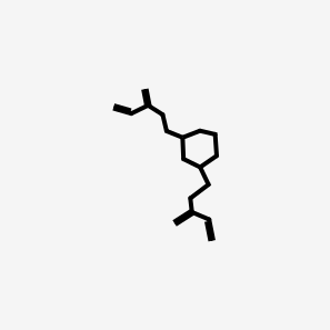 C=CC(=C)CCC1CCCC(CCC(=C)C=C)C1